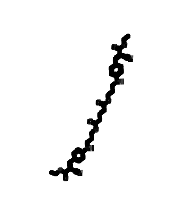 CCOC(=O)/C(C#N)=C/c1ccc(NCCCOC(=O)CCCC(=O)OCCCNc2ccc(/C=C(\C#N)C(=O)OCC)cc2)cc1